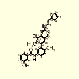 Cc1ccc(NC(=O)c2cccc(O)c2)cc1-c1cc2cnc(NCCC3=NC=CC3)nc2c(=O)n1C